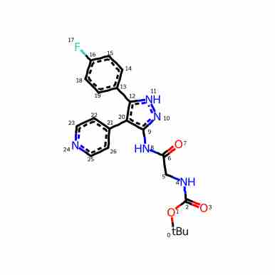 CC(C)(C)OC(=O)NCC(=O)Nc1n[nH]c(-c2ccc(F)cc2)c1-c1ccncc1